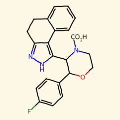 O=C(O)N1CCOC(c2ccc(F)cc2)C1c1[nH]nc2c1-c1ccccc1CC2